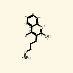 CCCCOCCCc1c(O)nc2ccccc2c1C